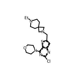 CCN1CCC2(CC1)CN(Cc1cc3nc(Cl)nc(N4CCOCC4)c3s1)C2